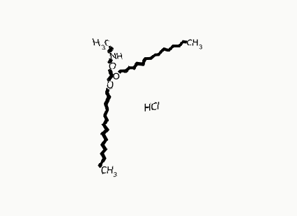 CCCCCCCCCCCCCCCCOCC(COCNCCC)OCCCCCCCCCCCCCCCC.Cl